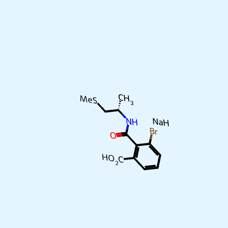 CSC[C@H](C)NC(=O)c1c(Br)cccc1C(=O)O.[NaH]